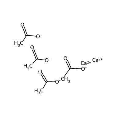 CC(=O)[O-].CC(=O)[O-].CC(=O)[O-].CC(=O)[O-].[Ca+2].[Ca+2]